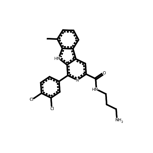 Cc1cccc2c1[nH]c1c(-c3ccc(Cl)c(Cl)c3)nc(C(=O)NCCCN)cc12